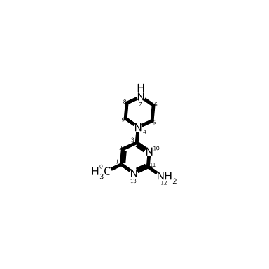 Cc1cc(N2CCNCC2)nc(N)n1